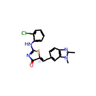 Cc1nc2ccc(/C=C3\SC(Nc4ccccc4Cl)=NC3=O)cc2n1C